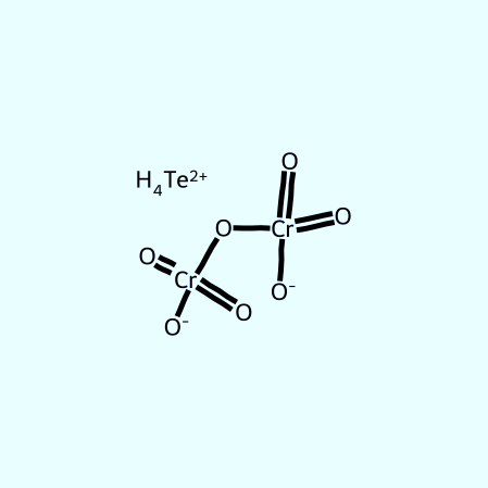 [O]=[Cr](=[O])([O-])[O][Cr](=[O])(=[O])[O-].[TeH4+2]